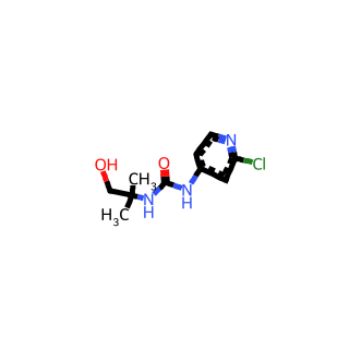 CC(C)(CO)NC(=O)Nc1ccnc(Cl)c1